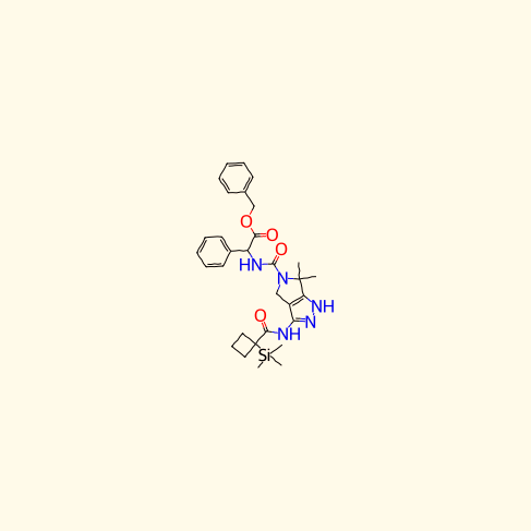 CC1(C)c2[nH]nc(NC(=O)C3([Si](C)(C)C)CCC3)c2CN1C(=O)NC(C(=O)OCc1ccccc1)c1ccccc1